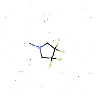 CN1CC(F)(F)C(F)(F)C1